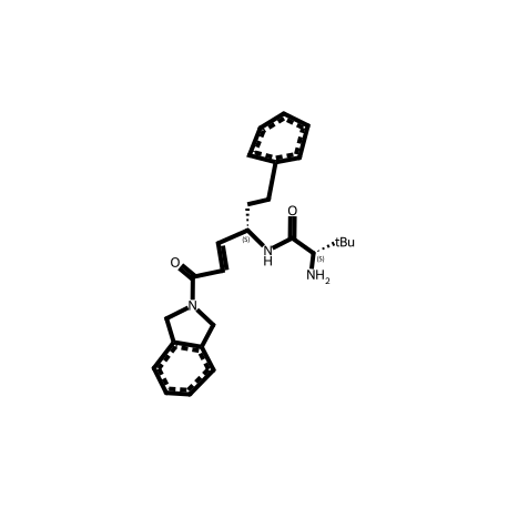 CC(C)(C)[C@H](N)C(=O)N[C@H](C=CC(=O)N1Cc2ccccc2C1)CCc1ccccc1